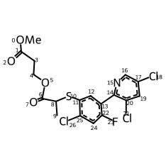 COC(=O)CCOC(=O)C(C)Sc1cc(-c2ncc(Cl)cc2Cl)c(F)cc1Cl